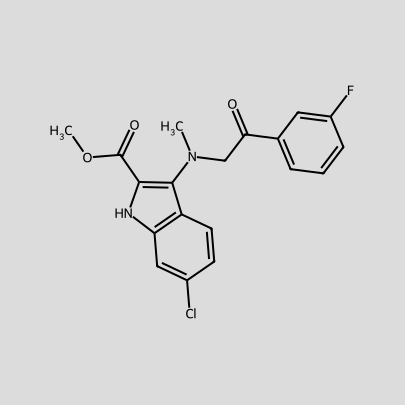 COC(=O)c1[nH]c2cc(Cl)ccc2c1N(C)CC(=O)c1cccc(F)c1